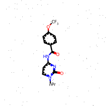 CCCn1ccc(NC(=O)c2ccc(OC(F)(F)F)cc2)nc1=O